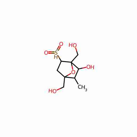 CC1C(O)C2(CO)OC1(CO)CC2[SH](=O)=O